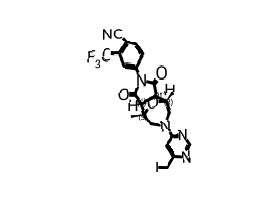 C[C@]12CN(c3cc(CI)ncn3)C[C@](C)(O1)[C@@H]1C(=O)N(c3ccc(C#N)c(C(F)(F)F)c3)C(=O)[C@@H]12